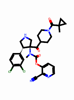 CN(C(=O)Oc1cccnc1C#N)[C@]1(C(=O)C2CCN(C(=O)C3(C)CC3)CC2)CNC[C@H]1c1ccc(Cl)c(Cl)c1